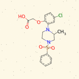 CC1CN(S(=O)(=O)c2ccccc2)CCN1c1cc(Cl)ccc1OCC(=O)O